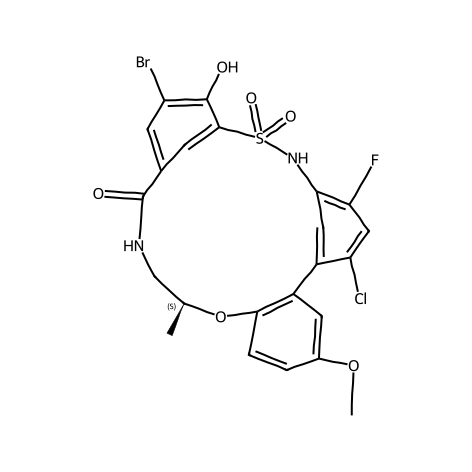 COc1ccc2c(c1)-c1cc(c(F)cc1Cl)NS(=O)(=O)c1cc(cc(Br)c1O)C(=O)NC[C@H](C)O2